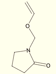 C=COCN1CCCC1=O